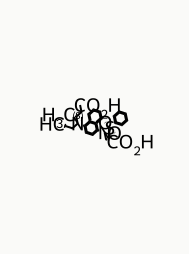 C#CCN(c1ccc(N(CC(=O)O)S(=O)(=O)c2ccccc2)c2ccccc12)[C@@H](C)CC(=O)O